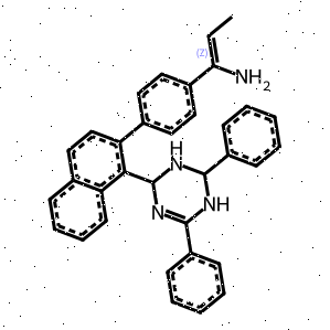 C/C=C(\N)c1ccc(-c2ccc3ccccc3c2C2N=C(c3ccccc3)NC(c3ccccc3)N2)cc1